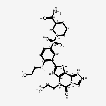 CCCOc1ccc(S(=O)(=O)N2CCCC(C(N)=O)C2)cc1-c1nc2c([nH]1)c1nncn1c(=O)n2CCC